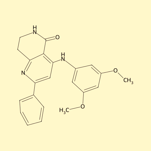 COc1cc(Nc2cc(-c3ccccc3)nc3c2C(=O)NCC3)cc(OC)c1